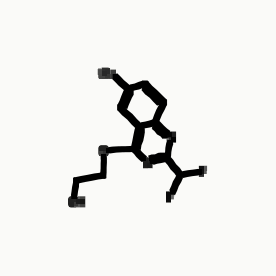 CC(C)(C)c1ccc2nc(C(F)F)nc(OCCO)c2c1